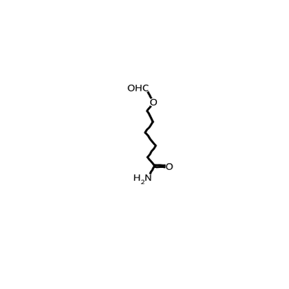 NC(=O)CCCCCOC=O